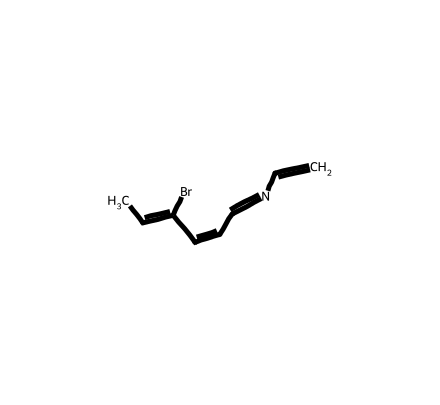 C=C/N=C/C=C\C(Br)=C\C